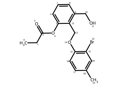 CCC(=O)Oc1cccc(CO)c1COc1ccc(C)cc1Br